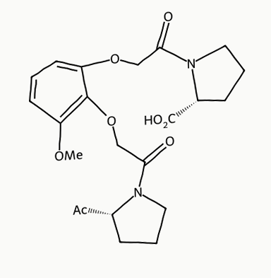 COc1cccc(OCC(=O)N2CCC[C@@H]2C(=O)O)c1OCC(=O)N1CCC[C@@H]1C(C)=O